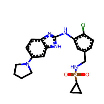 O=S(=O)(NCc1ccc(Cl)c(Nc2nc3ccc(N4CCCC4)cc3[nH]2)c1)C1CC1